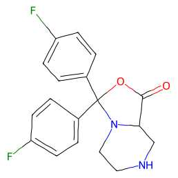 O=C1OC(c2ccc(F)cc2)(c2ccc(F)cc2)N2CCNCC12